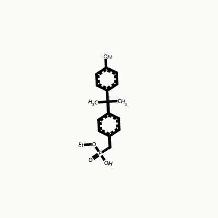 CCOP(=O)(O)Cc1ccc(C(C)(C)c2ccc(O)cc2)cc1